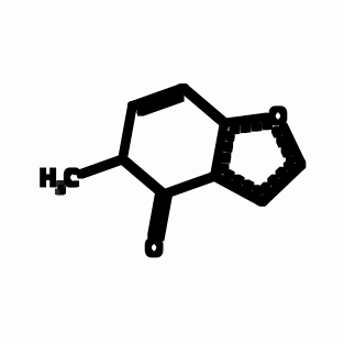 CC1C=Cc2occc2C1=O